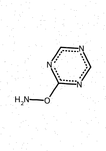 NOc1ncncn1